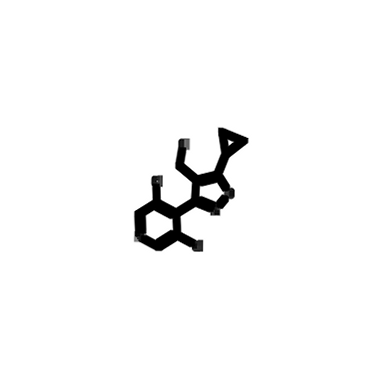 ClCc1c(-c2c(Cl)cncc2Cl)noc1C1CC1